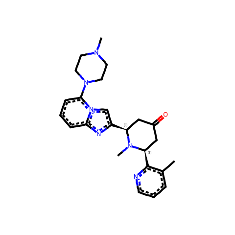 Cc1cccnc1[C@@H]1CC(=O)C[C@H](c2cn3c(N4CCN(C)CC4)cccc3n2)N1C